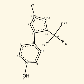 Cn1cc(-c2ccc(O)cc2)c(C(F)(F)F)n1